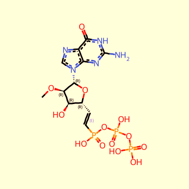 CO[C@@H]1[C@H](O)[C@@H](/C=C/P(=O)(O)OP(=O)(O)OP(=O)(O)O)O[C@H]1n1cnc2c(=O)[nH]c(N)nc21